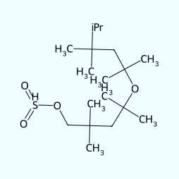 CC(C)C(C)(C)CC(C)(C)OC(C)(C)CC(C)(C)CO[SH](=O)=O